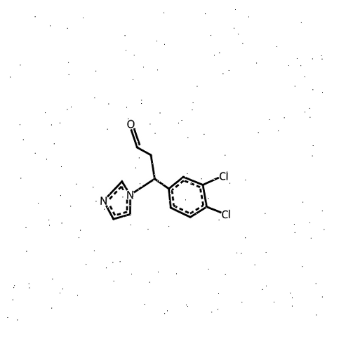 O=CCC(c1ccc(Cl)c(Cl)c1)n1ccnc1